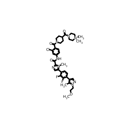 COCCn1ncc(-c2ccc(-c3cnc(C(=O)Nc4ccc(C(=O)N5CCC(C(=O)N6CC[N+](C)(C)CC6)CC5)c(Cl)c4)n3C)c(F)c2F)c1C